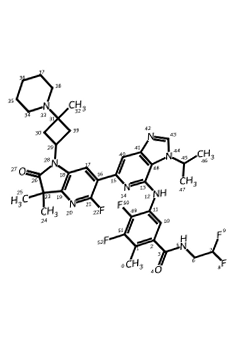 Cc1c(C(=O)NCC(F)F)cc(Nc2nc(-c3cc4c(nc3F)C(C)(C)C(=O)N4C3CC(C)(N4CCCCC4)C3)cc3ncn(C(C)C)c23)c(F)c1F